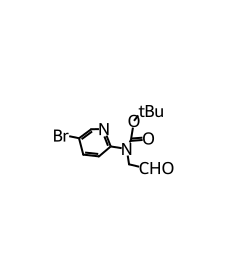 CC(C)(C)OC(=O)N(CC=O)c1ccc(Br)cn1